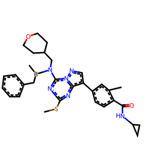 CSc1nc(N(CC2CCOCC2)B(C)Cc2ccccc2)n2ncc(-c3ccc(C(=O)NC4CC4)c(C)c3)c2n1